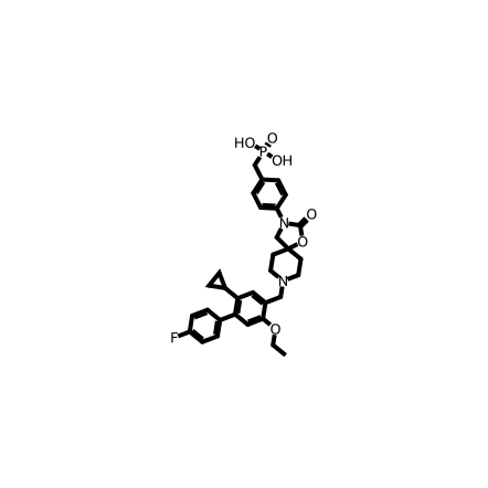 CCOc1cc(-c2ccc(F)cc2)c(C2CC2)cc1CN1CCC2(CC1)CN(c1ccc(CP(=O)(O)O)cc1)C(=O)O2